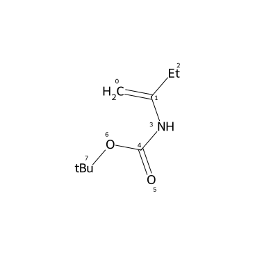 C=C(CC)NC(=O)OC(C)(C)C